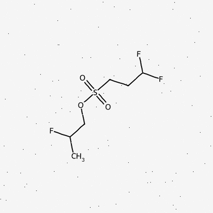 CC(F)COS(=O)(=O)CCC(F)F